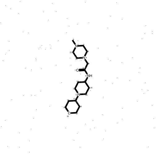 CN1CCN(CC(=O)NC2CCN(C3CCOCC3)CC2)CC1